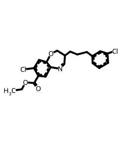 CCOC(=O)c1cc2c(cc1Cl)OCC(CCCc1cccc(Cl)c1)C=N2